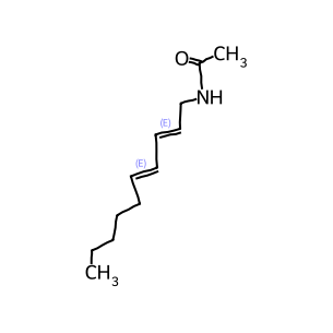 CCCCC/C=C/C=C/CNC(C)=O